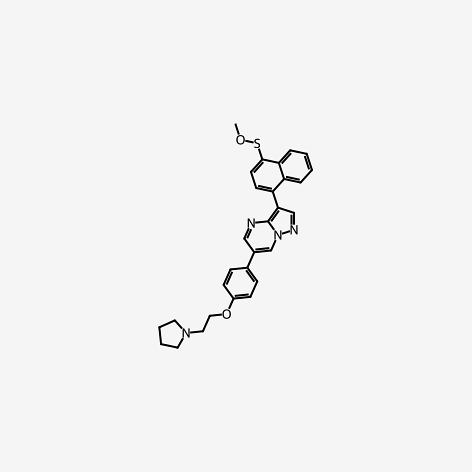 COSc1ccc(-c2cnn3cc(-c4ccc(OCCN5CCCC5)cc4)cnc23)c2ccccc12